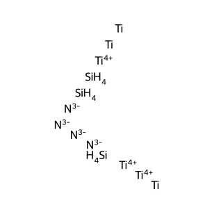 [N-3].[N-3].[N-3].[N-3].[SiH4].[SiH4].[SiH4].[Ti+4].[Ti+4].[Ti+4].[Ti].[Ti].[Ti]